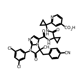 CC1(Cc2ccc(C#N)cc2)C(=O)N(c2cc(Cl)cc(Cl)c2)c2ncc(C(=O)NC3(C(=O)NC4(c5cc(C(=O)O)ccn5)CC4)CC3)n21